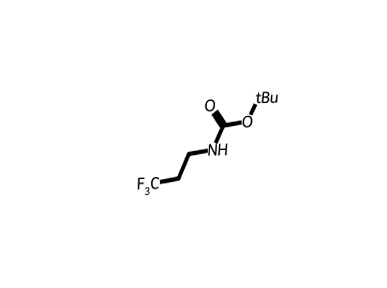 CC(C)(C)OC(=O)NCCC(F)(F)F